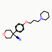 N#CC1(c2ccc(OCCCN3CCCCC3)cc2)CCOCC1